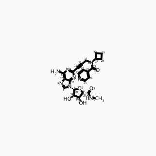 CNC(=O)[C@H]1O[C@@H](n2cnc3c(N)nc(C#CCN(C(=O)c4ccncc4)C4CCC4)nc32)[C@H](O)[C@@H]1O